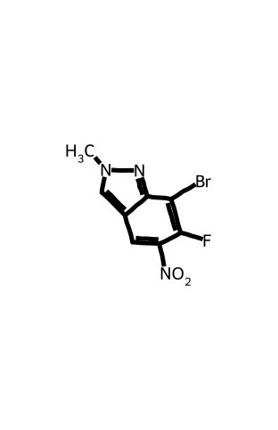 Cn1cc2cc([N+](=O)[O-])c(F)c(Br)c2n1